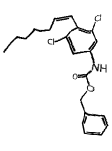 CCCCC/C=C\c1c(Cl)cc(NC(=O)OCc2ccccc2)cc1Cl